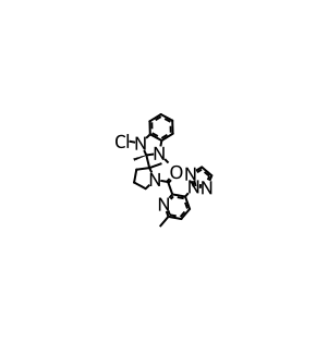 Cc1ccc(-n2nccn2)c(C(=O)N2CCCC2(C)[C@@]2(C)N(C)c3ccccc3N2Cl)n1